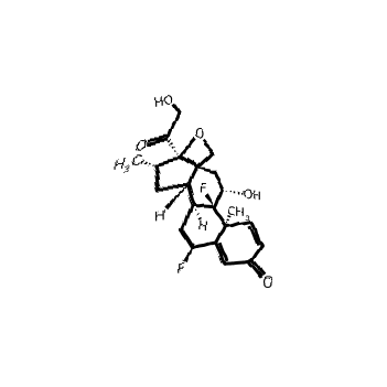 C[C@H]1C[C@H]2[C@@H]3C[C@H](F)C4=CC(=O)C=C[C@]4(C)[C@@]3(F)[C@@H](O)C[C@@]23CO[C@]13C(=O)CO